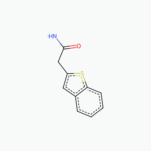 [NH]C(=O)Cc1cc2ccccc2s1